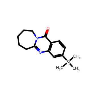 C[Si](C)(C)c1ccc2c(=O)n3c(nc2c1)CCCCC3